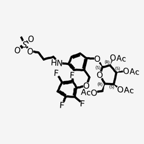 CC(=O)OC[C@H]1O[C@@H](Oc2ccc(NCCCOS(C)(=O)=O)cc2COc2c(F)c(F)cc(F)c2F)[C@H](OC(C)=O)[C@@H](OC(C)=O)[C@H]1OC(C)=O